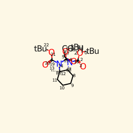 CC(C)(C)OC(=O)N(CC(=O)O)[C@@H]1CCCC[C@@]1(C)N(C(=O)OC(C)(C)C)C(=O)OC(C)(C)C